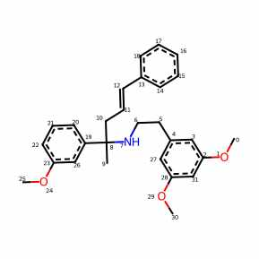 COc1cc(CCNC(C)(CC=Cc2ccccc2)c2cccc(OC)c2)cc(OC)c1